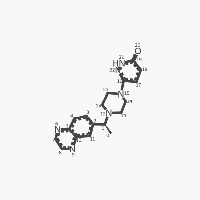 C[C@@H](c1ccc2nccnc2c1)N1CCN(c2ccc(=O)[nH]n2)CC1